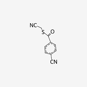 N#CCSC(=O)c1ccc(C#N)cc1